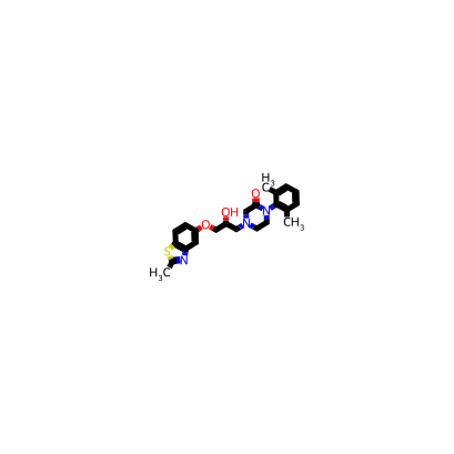 Cc1nc2cc(OCC(O)CN3CCN(c4c(C)cccc4C)C(=O)C3)ccc2s1